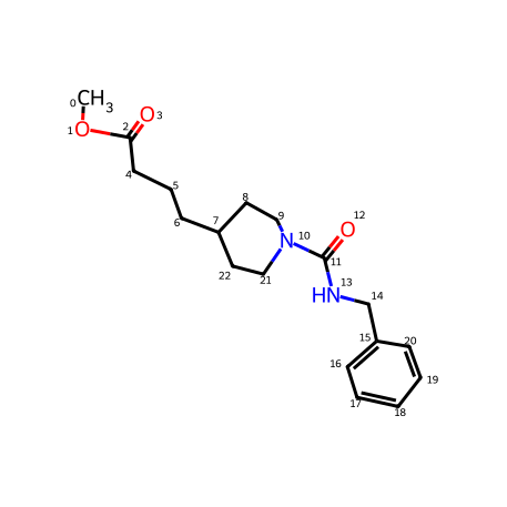 COC(=O)CCCC1CCN(C(=O)NCc2ccccc2)CC1